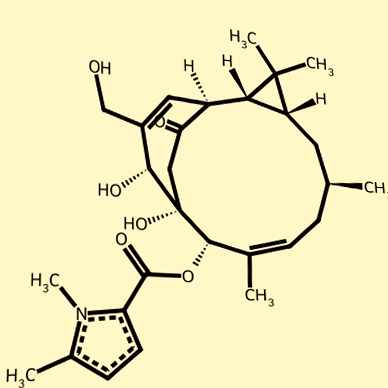 C/C1=C/C[C@H](C)C[C@@H]2[C@H]([C@@H]3C=C(CO)[C@@H](O)[C@@](O)(CC3=O)[C@H]1OC(=O)c1ccc(C)n1C)C2(C)C